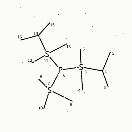 CC(C)S(C)(C)P(S(C)(C)C)S(C)(C)C(C)C